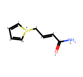 NC(=O)C=CC[SH]1C=CC=C1